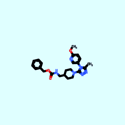 COc1ccc(-n2c(C)nnc2N2CCC(CNC(=O)OCc3ccccc3)CC2)cn1